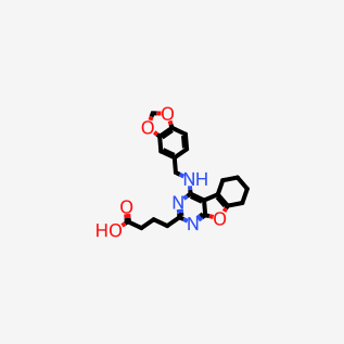 O=C(O)CCCc1nc(NCc2ccc3c(c2)OCO3)c2c3c(oc2n1)CCCC3